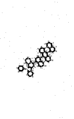 c1ccc(-n2c3ccccc3c3cc(-c4ccc(-c5c6ccccc6c(-c6cccc7ccccc67)c6ccccc56)c5ccccc45)c4ccccc4c32)cc1